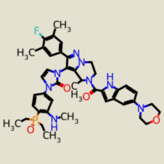 CCP(=O)(CC)c1ccc(-n2ccn(-c3c(-c4cc(C)c(F)c(C)c4)nn4c3C(C)N(C(=O)c3cc5cc(N6CCOCC6)ccc5[nH]3)CC4)c2=O)cc1NC